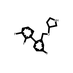 Fc1ccc(-c2cccc(F)c2F)c(COC2CCNC2)c1